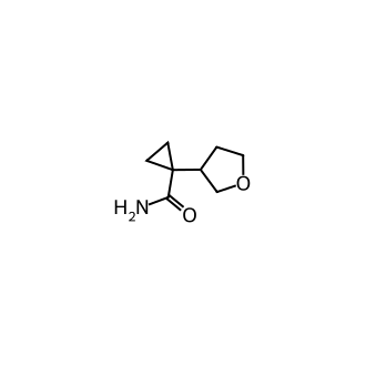 NC(=O)C1(C2CCOC2)CC1